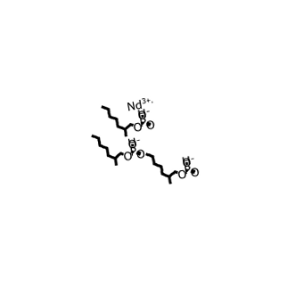 CCCCCC(C)CO[PH](=O)[O-].CCCCCC(C)CO[PH](=O)[O-].CCCCCC(C)CO[PH](=O)[O-].[Nd+3]